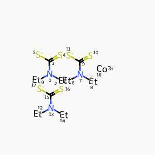 CCN(CC)C(=S)[S-].CCN(CC)C(=S)[S-].CCN(CC)C(=S)[S-].[Co+3]